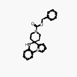 O=C(OCc1ccccc1)N1CCC2(CC1)Nc1ccccc1-n1cccc12